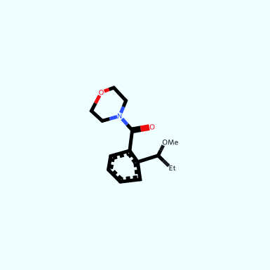 [CH2]CC(OC)c1ccccc1C(=O)N1CCOCC1